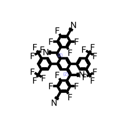 N#C/C(c1c(F)c(F)c(C#N)c(F)c1F)=c1/cc(-c2cc(C(F)(F)F)cc(C(F)(F)F)c2)/c(=C(\C#N)c2c(F)c(F)c(C#N)c(F)c2F)cc1-c1cc(C(F)(F)F)cc(C(F)(F)F)c1